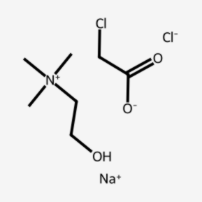 C[N+](C)(C)CCO.O=C([O-])CCl.[Cl-].[Na+]